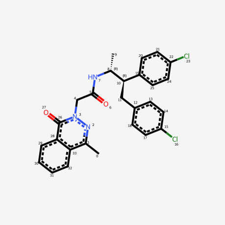 Cc1nn(CC(=O)N[C@H](C)[C@H](Cc2ccc(Cl)cc2)c2ccc(Cl)cc2)c(=O)c2ccccc12